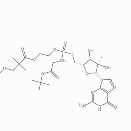 COCC(C)(C)C(=O)SCCOP(=O)(NCC(=O)OC(C)(C)C)OC[C@H]1O[C@@H](n2cnc3c(=O)[nH]c(N)nc32)[C@](C)(O)[C@@H]1O